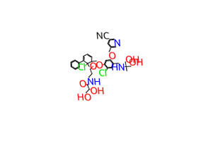 CC(CO)(CO)NCc1cc(Cl)c(OCC2(OCCCNC(=O)C(O)CO)C=CC=C(c3ccccc3)C2(C)Cl)cc1OCc1cncc(C#N)c1